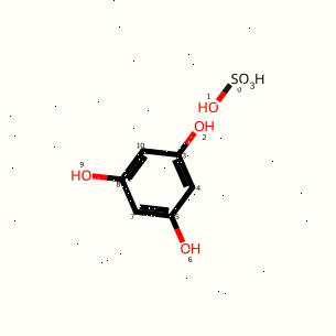 O=S(=O)(O)O.Oc1cc(O)cc(O)c1